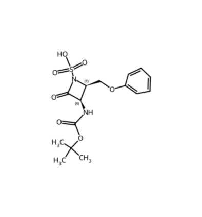 CC(C)(C)OC(=O)N[C@H]1C(=O)N(S(=O)(=O)O)[C@H]1COc1ccccc1